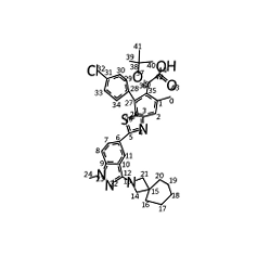 Cc1cc2nc(-c3ccc4c(c3)c(N3CC5(CCCCC5)C3)nn4C)sc2c(-c2ccc(Cl)cc2)c1[C@H](OC(C)(C)C)C(=O)O